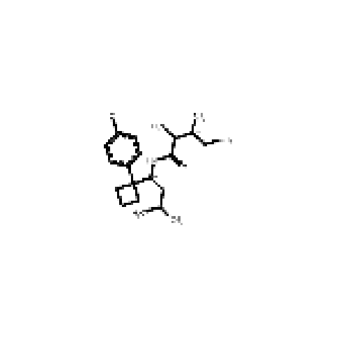 CC[C@H](C)C(N)C(=O)N[C@@H](CC(C)C)C1(c2ccc(Cl)cc2)CCC1